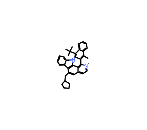 Cc1c2ccccc2c(C(C)(C)C)c2c1c1c3c(cc[n+]1C)cc(CC1CCCC1)c1c4ccccc4n2c13